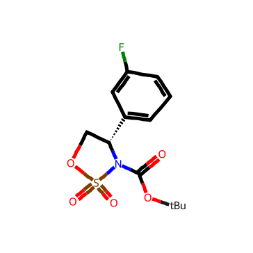 CC(C)(C)OC(=O)N1[C@@H](c2cccc(F)c2)COS1(=O)=O